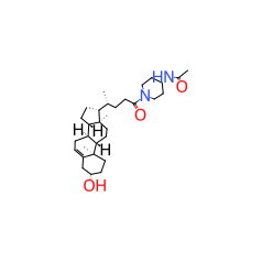 CC(=O)NC1CCN(C(=O)CC[C@@H](C)[C@H]2CC[C@H]3[C@@H]4CC=C5C[C@@H](O)CC[C@]5(C)[C@H]4CC[C@]23C)CC1